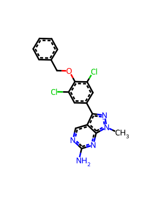 Cn1nc(-c2cc(Cl)c(OCc3ccccc3)c(Cl)c2)c2cnc(N)nc21